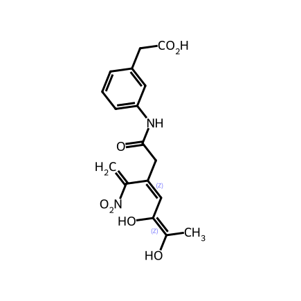 C=C(/C(=C\C(O)=C(/C)O)CC(=O)Nc1cccc(CC(=O)O)c1)[N+](=O)[O-]